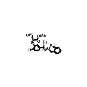 COC(=O)N(COC(C)=O)Oc1cc(/C(C)=N/OCc2ccccc2C(F)(F)F)ccc1Cl